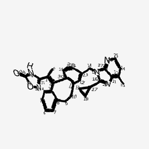 C/C(=C1/c2ccccc2CCc2cc(Cn3c(C4CC4)nc4c(C)ccnc43)ccc21)c1noc(=O)[nH]1